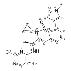 C[C@H](Nc1nc(Cl)ncc1I)c1cc2cccc(-c3cnn(C)c3)c2c(=O)n1C1CC1